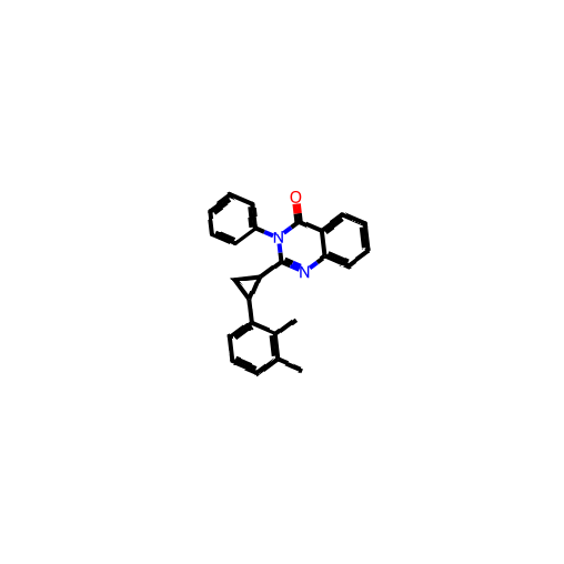 Cc1cccc(C2CC2c2nc3ccccc3c(=O)n2-c2ccccc2)c1C